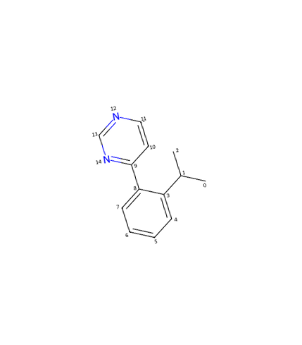 CC(C)c1ccccc1-c1c[c]ncn1